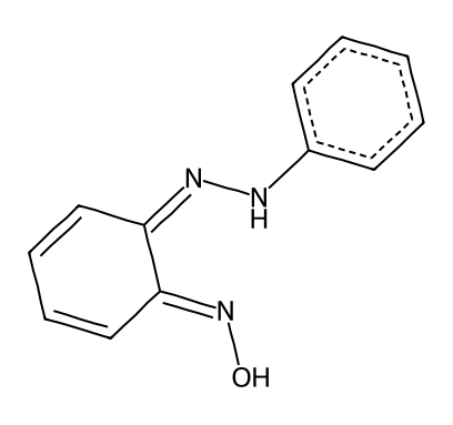 O/N=C1\C=CC=C\C1=N\Nc1ccccc1